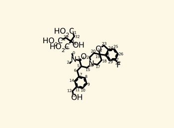 CN(C)C(=O)C(Cc1cccc(CO)c1)CN1CCC2(CC1)OCc1ccc(F)cc12.O=C(O)CC(O)(CC(=O)O)C(=O)O